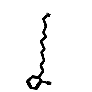 CCc1ccccc1CCCCCCCCCCBr